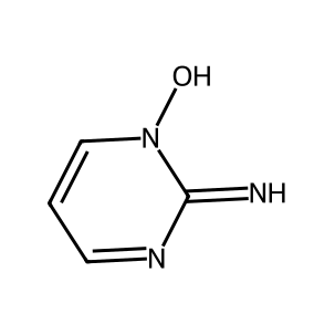 N=c1ncccn1O